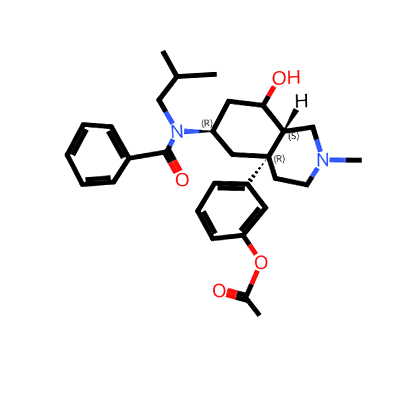 CC(=O)Oc1cccc([C@@]23CCN(C)C[C@H]2C(O)C[C@H](N(CC(C)C)C(=O)c2ccccc2)C3)c1